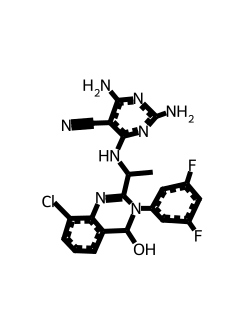 CC(Nc1nc(N)nc(N)c1C#N)C1=Nc2c(Cl)cccc2C(O)N1c1cc(F)cc(F)c1